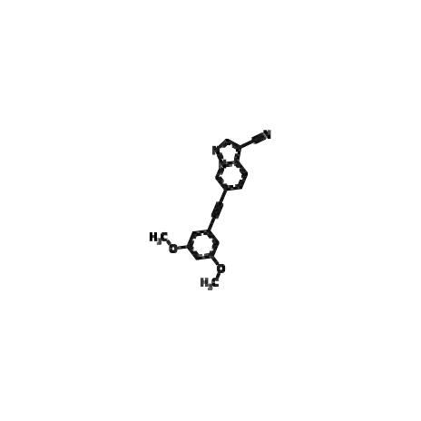 COc1cc(C#Cc2ccc3c(C#N)cnn3c2)cc(OC)c1